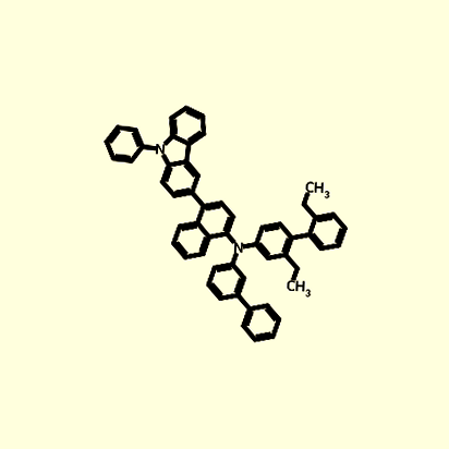 CCc1ccccc1-c1ccc(N(c2cccc(-c3ccccc3)c2)c2ccc(-c3ccc4c(c3)c3ccccc3n4-c3ccccc3)c3ccccc23)cc1CC